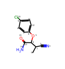 CC(C#N)C(Oc1ccc(Cl)cc1)C(N)=O